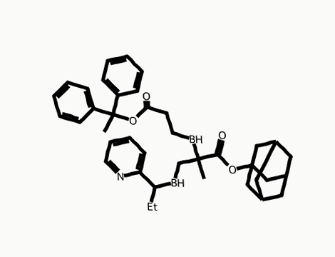 CCC(BCC(C)(BCCC(=O)OC(C)(c1ccccc1)c1ccccc1)C(=O)OC12CC3CC(CC(C3)C1)C2)c1ccccn1